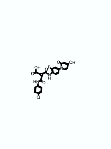 O=C(O)C1C(C(=O)Nc2ccc(Cl)cc2)C1C(=O)Nc1ccc(-n2ccc(O)cc2=O)cc1F